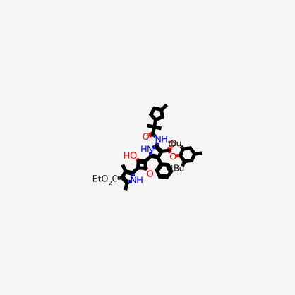 CCOC(=O)c1c(C)[nH]c(C2C(=O)C(c3[nH]c(NC(=O)C(C)(C)C4CCC(C)C4)c(C(=O)OC4C(C(C)(C)C)CC(C)CC4C(C)(C)C)c3-c3ccccc3)=C2O)c1C